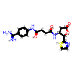 N=C(N)c1ccc(NC(=O)CCC(=O)N[C@H]2CC(=O)OC2c2nccs2)cc1